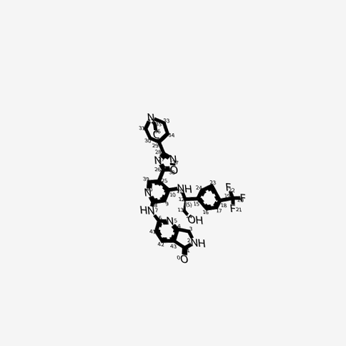 O=C1NCc2nc(Nc3cc(N[C@H](CO)c4ccc(C(F)(F)F)cc4)c(-c4nc(C56CCN(CC5)CC6)no4)cn3)ccc21